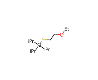 CCOCCS[Si](C(C)C)(C(C)C)C(C)C